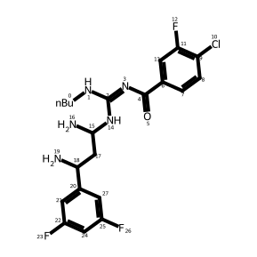 CCCCN/C(=N/C(=O)c1ccc(Cl)c(F)c1)NC(N)CC(N)c1cc(F)cc(F)c1